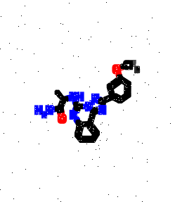 C[C@@H](Nc1nc2ccccc2c2nc(-c3cccc(OC(F)(F)F)c3)nn12)C(N)=O